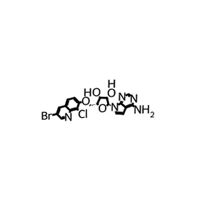 Nc1ncnc2c1ccn2[C@@H]1O[C@H](COc2ccc3cc(Br)cnc3c2Cl)[C@@H](O)[C@H]1O